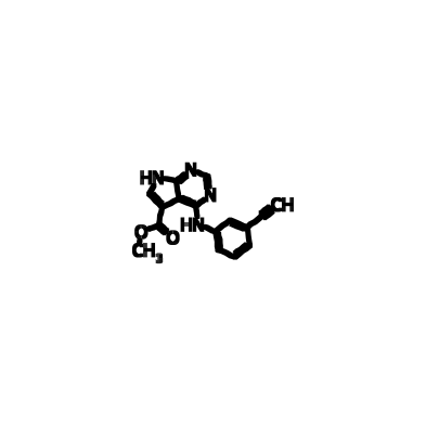 C#Cc1cccc(Nc2ncnc3[nH]cc(C(=O)OC)c23)c1